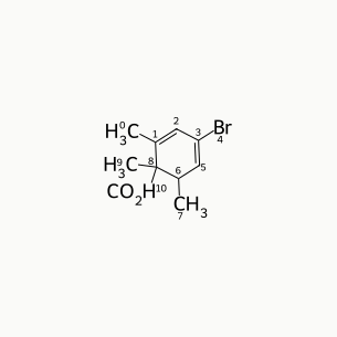 CC1=CC(Br)=CC(C)C1(C)C(=O)O